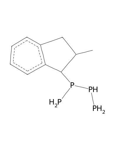 CC1Cc2ccccc2C1P(P)PP